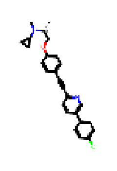 C[C@H](COc1ccc(C#Cc2ccc(-c3ccc(Cl)cc3)cn2)cc1)N(C)C1CC1